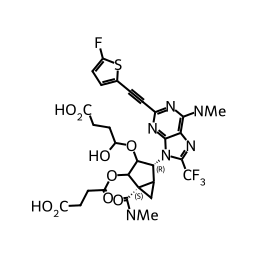 CNC(=O)[C@@]12CC1[C@@H](n1c(C(F)(F)F)nc3c(NC)nc(C#Cc4ccc(F)s4)nc31)C(OC(O)CCC(=O)O)C2OC(=O)CCC(=O)O